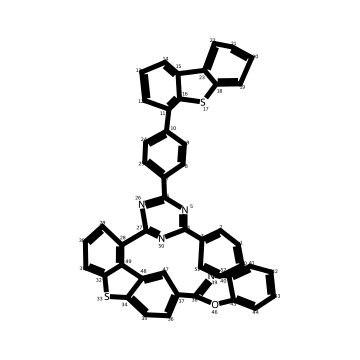 c1ccc(-c2nc(-c3ccc(-c4cccc5c4sc4ccccc45)cc3)nc(-c3cccc4sc5ccc(-c6nc7ccccc7o6)cc5c34)n2)cc1